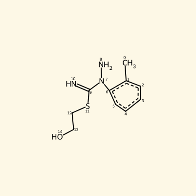 Cc1ccccc1N(N)C(=N)SCCO